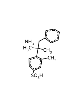 Cc1cc(S(=O)(=O)O)ccc1C(C)(C)Cc1ccccc1.N